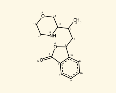 CC(CC1OC(=O)c2ccccc21)C1COCCN1